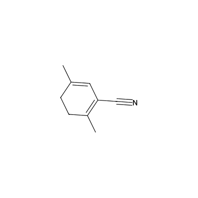 CC1=CC(C#N)=C(C)CC1